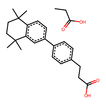 CC1(C)CCC(C)(C)c2cc(-c3ccc(CCC(=O)O)cc3)ccc21.CCC(=O)O